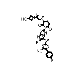 CCc1nc2sc(N3C(=O)CCC(N(C)CC(=O)N4CC(O)C4)C3=O)nn2c1N(C)c1nc(-c2ccc(F)cc2)c(C#N)s1